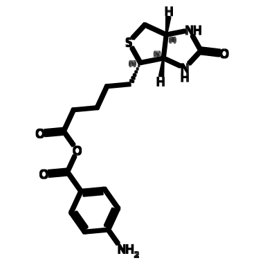 Nc1ccc(C(=O)OC(=O)CCCC[C@@H]2SC[C@@H]3NC(=O)N[C@@H]32)cc1